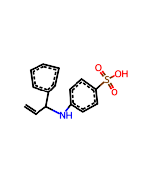 C=CC(Nc1ccc(S(=O)(=O)O)cc1)c1ccccc1